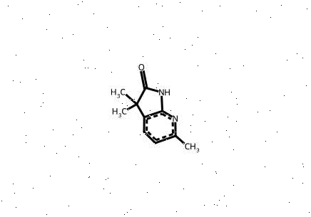 Cc1ccc2c(n1)NC(=O)C2(C)C